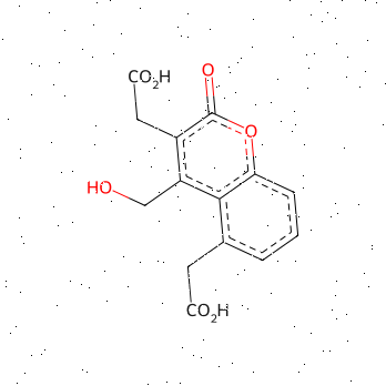 O=C(O)Cc1c(CO)c2c(CC(=O)O)cccc2oc1=O